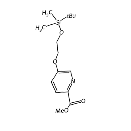 COC(=O)c1ccc(OCCO[Si](C)(C)C(C)(C)C)cn1